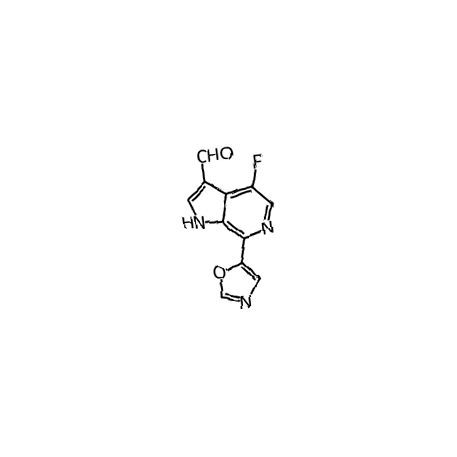 O=Cc1c[nH]c2c(-c3cnco3)ncc(F)c12